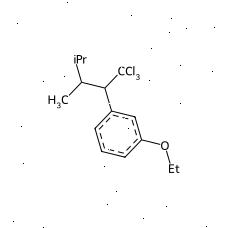 CCOc1cccc(C(C(C)C(C)C)C(Cl)(Cl)Cl)c1